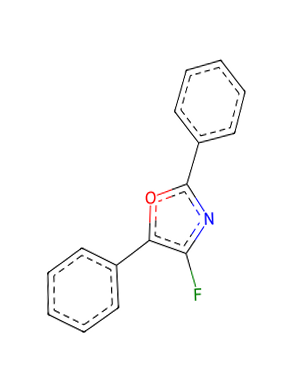 Fc1nc(-c2ccccc2)oc1-c1ccccc1